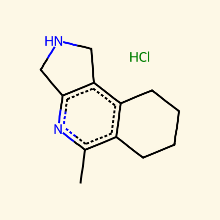 Cc1nc2c(c3c1CCCC3)CNC2.Cl